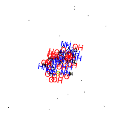 CC[C@H](C)[C@H](NC(=O)[C@H](CO)NC(=O)[C@H](Cc1ccc(O)cc1)NC(=O)[C@H](CC(=O)O)NC(=O)[C@H](CO)NC(=O)[C@@H](NC(=O)[C@H](Cc1ccccc1)NC(=O)[C@@H](NC(=O)CNC(=O)[C@H](CCC(=O)O)NC(=O)CSCC(=O)NCCN1C[C@H](C)CC1=O)[C@@H](C)O)[C@@H](C)O)C(=O)N[C@@H](Cc1ccc(O)cc1)C(=O)N[C@@H](CC(C)C)C(=O)N[C@@H](CC(=O)O)C(=O)N[C@H](C)CCCCN